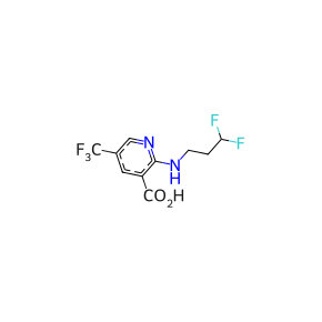 O=C(O)c1cc(C(F)(F)F)cnc1NCCC(F)F